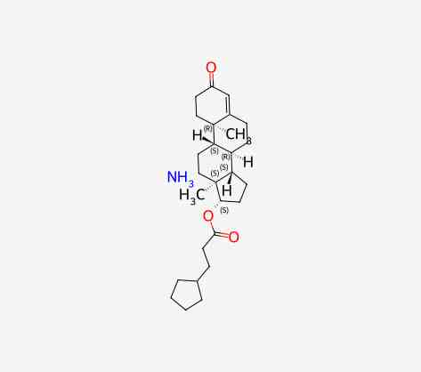 C[C@]12CC[C@H]3[C@@H](CCC4=CC(=O)CC[C@@]43C)[C@@H]1CC[C@@H]2OC(=O)CCC1CCCC1.N